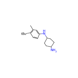 Cc1cc(NC2CCC(N)CC2)ccc1C(C)(C)C